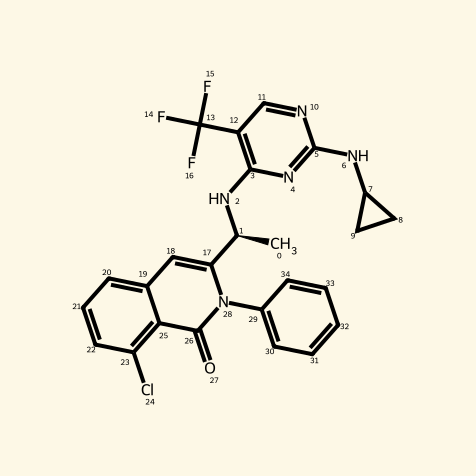 C[C@H](Nc1nc(NC2CC2)ncc1C(F)(F)F)c1cc2cccc(Cl)c2c(=O)n1-c1ccccc1